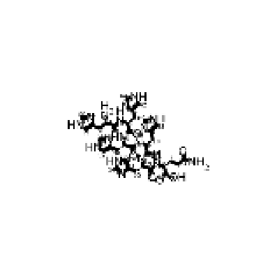 NC(=O)CC[C@H](NC(=O)[C@H](Cc1c[nH]cn1)NC(=O)[C@H](Cc1c[nH]cn1)NC(=O)[C@H](Cc1c[nH]cn1)NC(=O)[C@H](Cc1c[nH]cn1)NC(=O)[C@@H](N)Cc1c[nH]cn1)C(=O)O